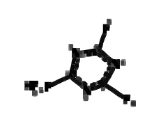 F.Fc1nc(F)nc(F)n1